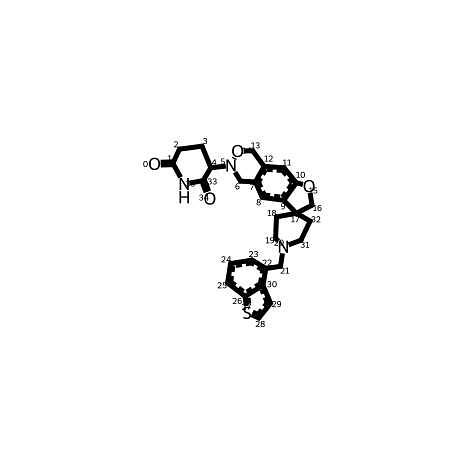 O=C1CCC(N2Cc3cc4c(cc3CO2)OCC42CCN(Cc3cccc4sccc34)CC2)C(=O)N1